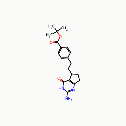 CC(C)(C)OC(=O)c1ccc(CCC2CCc3nc(N)[nH]c(=O)c32)cc1